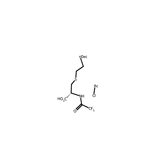 CC(=O)Cl.CCCCCCCCCCCCSC[C@H](NC(=O)C(F)(F)F)C(=O)O